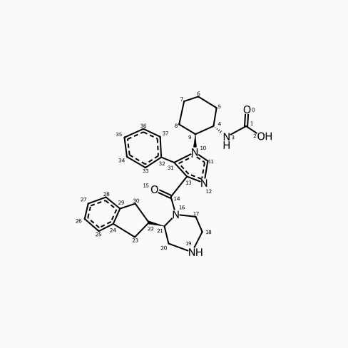 O=C(O)N[C@H]1CCCC[C@@H]1n1cnc(C(=O)N2CCNC[C@H]2C2Cc3ccccc3C2)c1-c1ccccc1